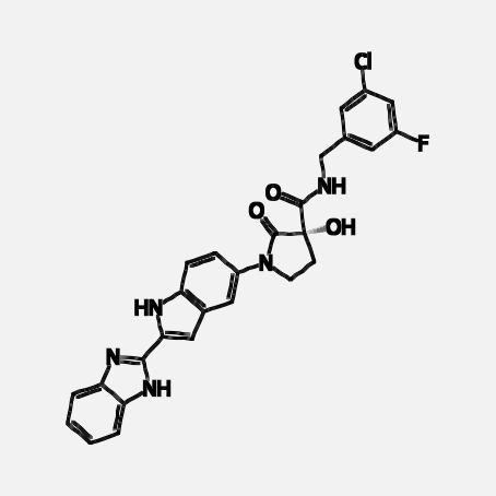 O=C(NCc1cc(F)cc(Cl)c1)[C@@]1(O)CCN(c2ccc3[nH]c(-c4nc5ccccc5[nH]4)cc3c2)C1=O